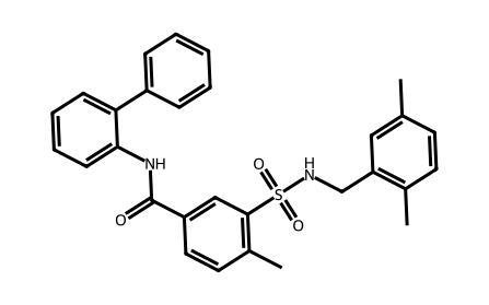 Cc1ccc(C)c(CNS(=O)(=O)c2cc(C(=O)Nc3ccccc3-c3ccccc3)ccc2C)c1